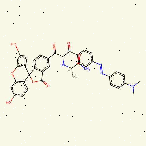 CCCC[C@H](NC(C(=O)c1ccc(N=Nc2ccc(N(C)C)cc2)cc1)C(=O)c1ccc2c(c1)C(=O)OC21c2ccc(O)cc2Oc2cc(O)ccc21)C(N)=O